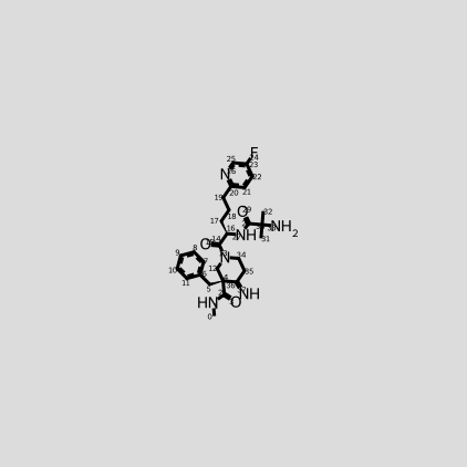 CNC(=O)[C@]1(Cc2ccccc2)CN(C(=O)[C@@H](CCCc2ccc(F)cn2)NC(=O)C(C)(C)N)CCC1=N